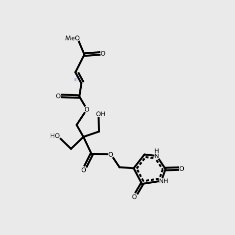 COC(=O)/C=C/C(=O)OCC(CO)(CO)C(=O)OCc1c[nH]c(=O)[nH]c1=O